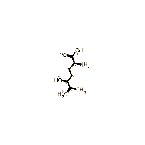 C=C(C)C(O)CCC(N)C(=O)O